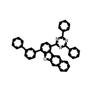 c1ccc(-c2cccc(-c3ccc(-c4nc(-c5ccccc5)nc(-c5ccccc5)n4)c4c3oc3cc5ccccc5cc34)c2)cc1